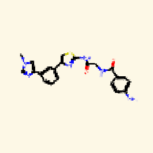 Cn1cnc(-c2cccc(-c3csc(NC(=O)CNC(=O)c4ccc(N)cc4)n3)c2)c1